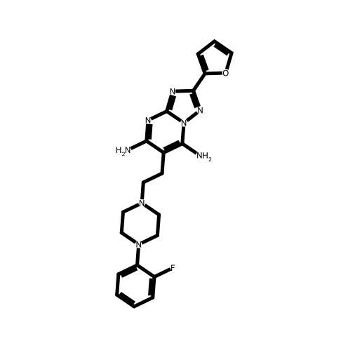 Nc1nc2nc(-c3ccco3)nn2c(N)c1CCN1CCN(c2ccccc2F)CC1